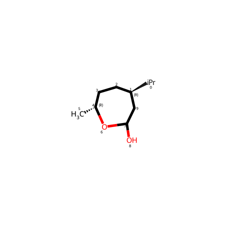 CC(C)[C@@H]1CC[C@@H](C)OC(O)C1